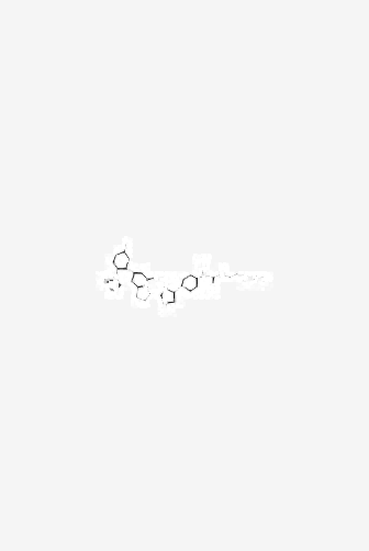 COCCOC(=O)Nc1ccc(-c2cnc([C@@H]3CCc4cc(-c5cc(C)ccc5-n5cnnn5)cc(=O)n43)[nH]2)cc1